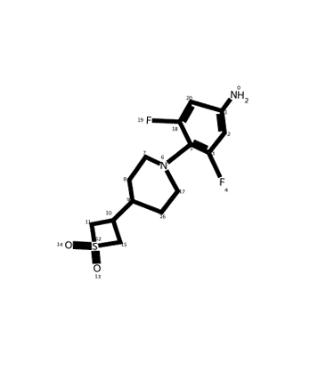 Nc1cc(F)c(N2CCC(C3CS(=O)(=O)C3)CC2)c(F)c1